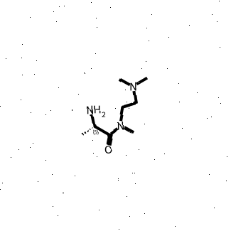 C[C@H](N)C(=O)N(C)CCN(C)C